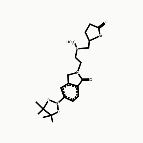 CC1(C)OB(c2ccc3c(c2)CN(CCN(CC2CCC(=O)N2)C(=O)O)C3=O)OC1(C)C